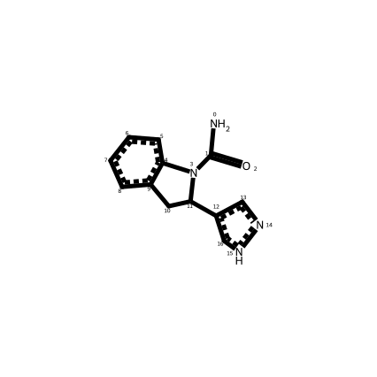 NC(=O)N1c2ccccc2CC1c1cn[nH]c1